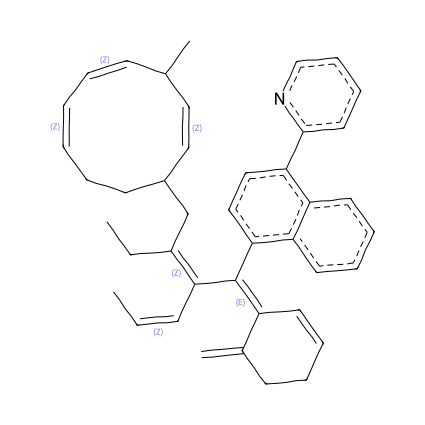 C=C1CCC=C/C1=C(C(/C=C\C)=C(/CC)CC1/C=C\C(C)/C=C\C=C/CC1)\c1ccc(-c2ccccn2)c2ccccc12